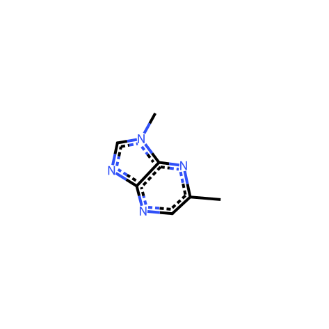 Cc1cnc2ncn(C)c2n1